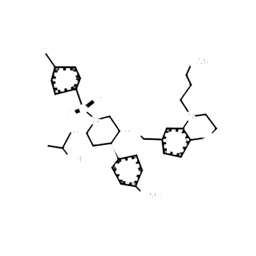 COCCCN1CCOc2ccc(CO[C@H]3CN(S(=O)(=O)c4ccc(C)cc4)[C@@H](CC(C)O)C[C@@H]3c3ccc(OC)cc3)cc21